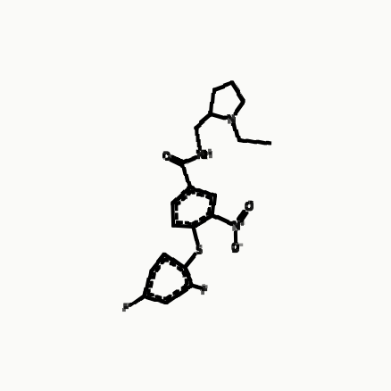 CCN1CCCC1CNC(=O)c1ccc(Sc2ccc(F)cc2F)c([N+](=O)[O-])c1